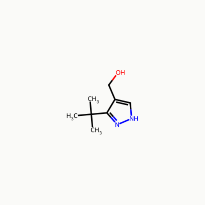 CC(C)(C)c1n[nH]cc1CO